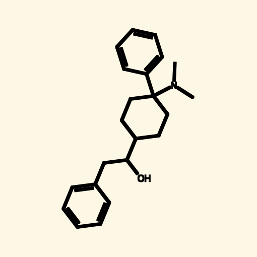 CN(C)C1(c2ccccc2)CCC(C(O)Cc2ccccc2)CC1